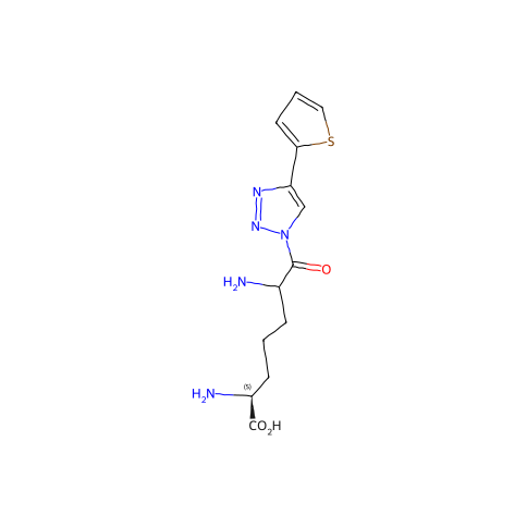 NC(CCC[C@H](N)C(=O)O)C(=O)n1cc(-c2cccs2)nn1